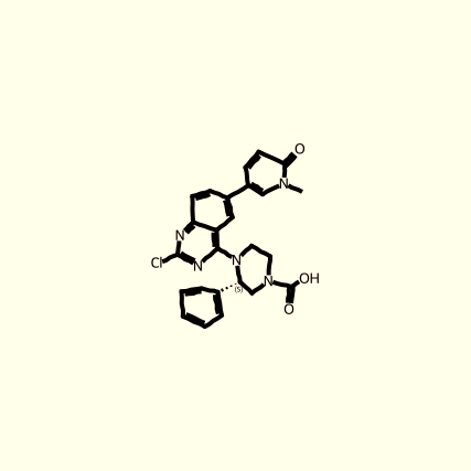 Cn1cc(-c2ccc3nc(Cl)nc(N4CCN(C(=O)O)C[C@@H]4c4ccccc4)c3c2)ccc1=O